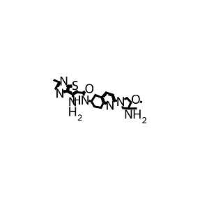 COC1CN(c2ccc3c(n2)CCC(NC(=O)c2sc4nc(C)cnc4c2N)C3)CC1(C)N